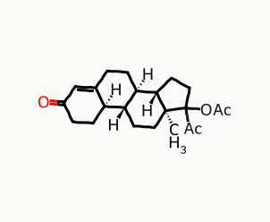 CC(=O)OC1(C(C)=O)CC[C@H]2[C@@H]3CCC4=CC(=O)CC[C@@H]4[C@H]3CC[C@@]21C